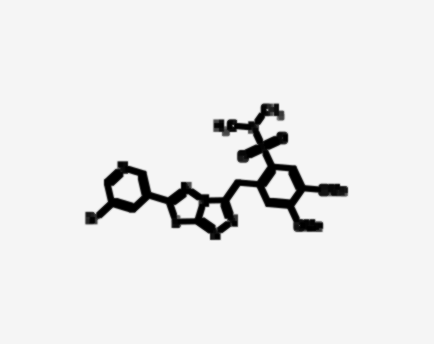 COc1cc(Cc2nnc3sc(-c4cncc(Br)c4)nn23)c(S(=O)(=O)N(C)C)cc1OC